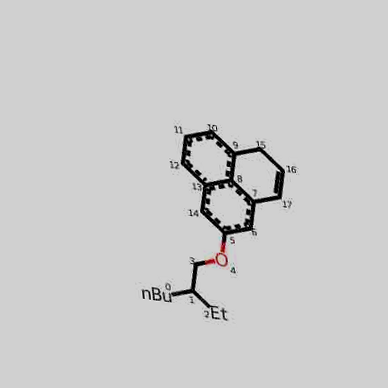 CCCCC(CC)COc1cc2c3c(cccc3c1)CC=C2